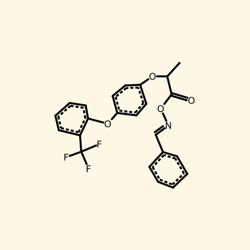 CC(Oc1ccc(Oc2ccccc2C(F)(F)F)cc1)C(=O)ON=Cc1ccccc1